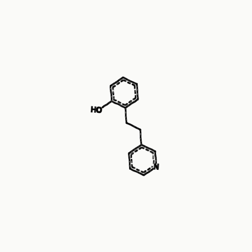 Oc1ccccc1CCc1cccnc1